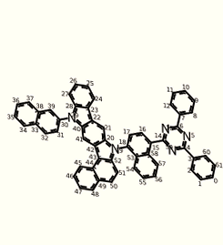 c1ccc(-c2nc(-c3ccccc3)nc(-c3ccc(-n4c5cc6c7ccccc7n(-c7ccc8ccccc8c7)c6cc5c5c6ccccc6ccc54)c4ccccc34)n2)cc1